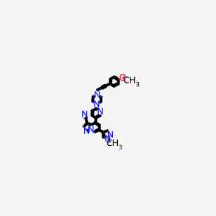 COc1ccc(C#CCN2CCN(c3ccc(-c4cc(-c5cnn(C)c5)cn5ncc(C#N)c45)cn3)CC2)cc1